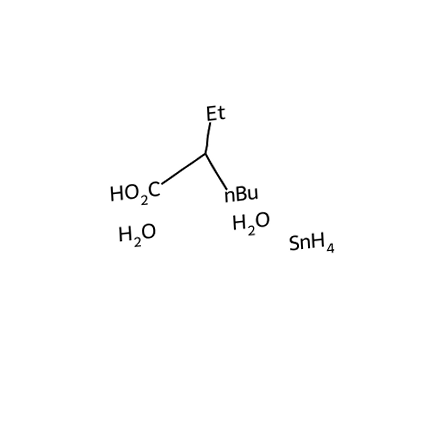 CCCCC(CC)C(=O)O.O.O.[SnH4]